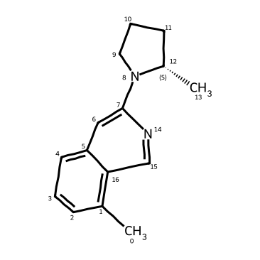 Cc1cccc2cc(N3CCC[C@@H]3C)ncc12